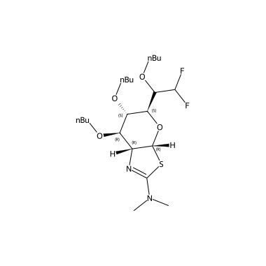 CCCCOC(C(F)F)[C@H]1O[C@@H]2SC(N(C)C)=N[C@@H]2[C@@H](OCCCC)[C@@H]1OCCCC